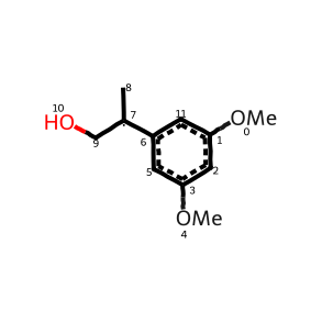 COc1cc(OC)cc([C](C)CO)c1